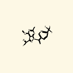 COc1nc(C)nc2c1c(C(F)F)nn2C(C)c1ccc(C(F)(F)F)nc1